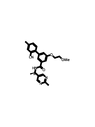 COCCOc1cc(C(=O)N[C@H](C)c2cnc(C)nc2)cc(-c2ccc(C)cc2C#N)c1